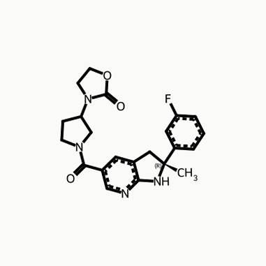 C[C@]1(c2cccc(F)c2)Cc2cc(C(=O)N3CCC(N4CCOC4=O)C3)cnc2N1